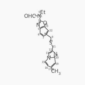 CCN(C=O)c1nc2ccc(CSCc3cn4ccc(C)cc4n3)cc2o1